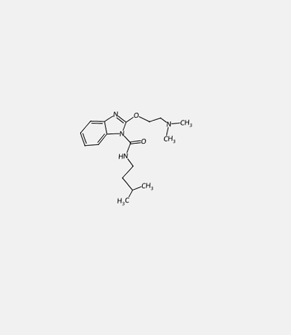 CC(C)CCNC(=O)n1c(OCCN(C)C)nc2ccccc21